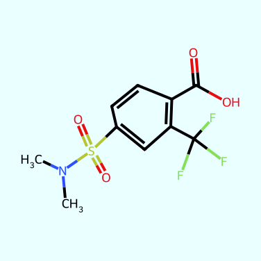 CN(C)S(=O)(=O)c1ccc(C(=O)O)c(C(F)(F)F)c1